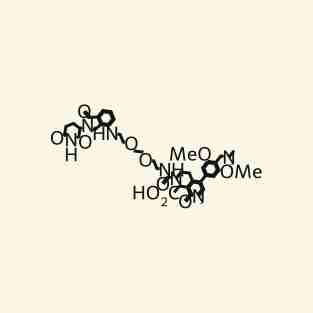 COc1cc(-c2cn(C)c(=O)c3c2CCN(C(=O)NCCOCCOCCNc2cccc4c2CN(C2CCC(=O)NC2=O)C4=O)C3C(=O)O)cc(OC)c1CN(C)C